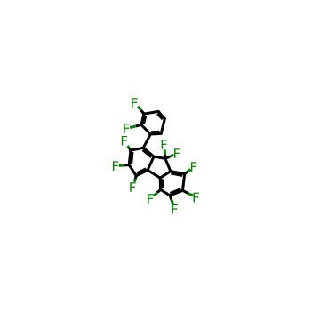 Fc1cccc(-c2c(F)c(F)c(F)c3c2C(F)(F)c2c(F)c(F)c(F)c(F)c2-3)c1F